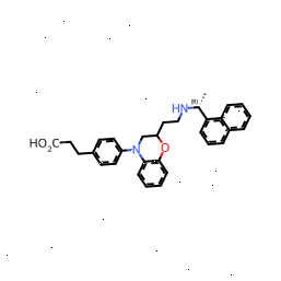 C[C@@H](NCCC1CN(c2ccc(CCC(=O)O)cc2)c2ccccc2O1)c1cccc2ccccc12